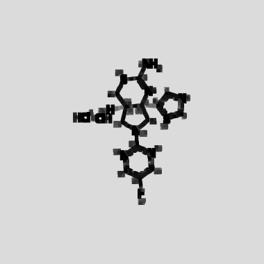 Cl.Cl.NC1=N[C@@]2(c3cncs3)CN(c3ncc(F)cn3)C[C@H]2CS1